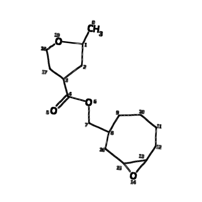 CC1CC(C(=O)OCC2CCCCC3OC3C2)CCO1